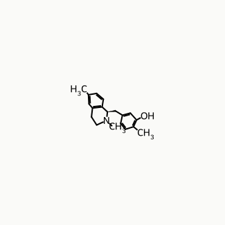 Cc1ccc2c(c1)CCN(C)[C@@H]2Cc1ccc(C)c(O)c1